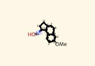 COc1ccc2c3c(ccc2c1)CC/C3=N\O